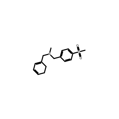 CN(CC1=CC=CCC1)Cc1ccc(S(C)(=O)=O)cc1